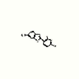 Nc1ccc2nc(-c3ccc(Br)nc3F)sc2c1